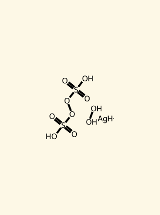 O=S(=O)(O)OOS(=O)(=O)O.OO.[AgH]